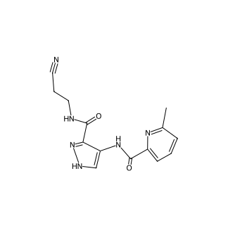 Cc1cccc(C(=O)Nc2c[nH]nc2C(=O)NCCC#N)n1